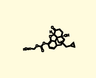 CCCCCCCCCCCOC(=O)OC1=C2O[C@H]3C(=O)CC[C@@]4(O)C5CC(C=C1)C2[C@@]34CCN5CC1CC1